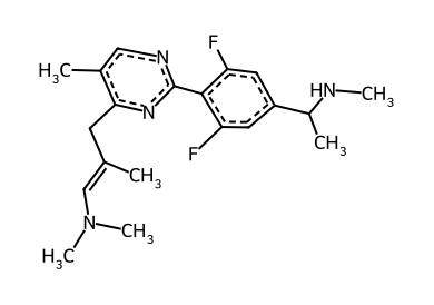 CNC(C)c1cc(F)c(-c2ncc(C)c(C/C(C)=C/N(C)C)n2)c(F)c1